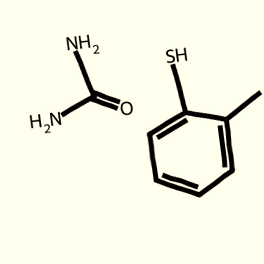 Cc1ccccc1S.NC(N)=O